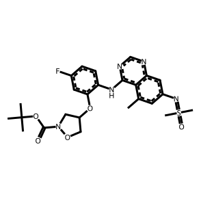 Cc1cc(N=S(C)(C)=O)cc2ncnc(Nc3ccc(F)cc3OC3CON(C(=O)OC(C)(C)C)C3)c12